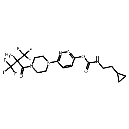 CC(C(=O)N1CCN(c2ccc(OC(=O)NCCC3CC3)nn2)CC1)(C(F)(F)F)C(F)(F)F